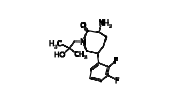 CC(C)(O)CN1CC(c2cccc(F)c2F)CCC(N)C1=O